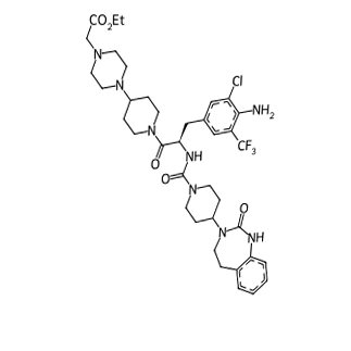 CCOC(=O)CN1CCN(C2CCN(C(=O)[C@@H](Cc3cc(Cl)c(N)c(C(F)(F)F)c3)NC(=O)N3CCC(N4CCc5ccccc5NC4=O)CC3)CC2)CC1